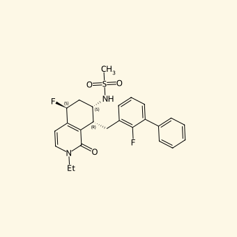 CCn1ccc2c(c1=O)[C@@H](Cc1cccc(-c3ccccc3)c1F)[C@@H](NS(C)(=O)=O)C[C@@H]2F